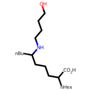 CCCCCCC(CCCC(CCCC)NCCCCO)C(=O)O